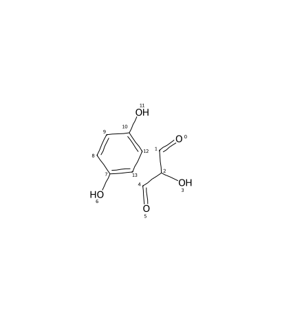 O=CC(O)C=O.Oc1ccc(O)cc1